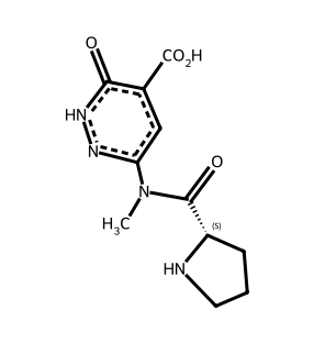 CN(C(=O)[C@@H]1CCCN1)c1cc(C(=O)O)c(=O)[nH]n1